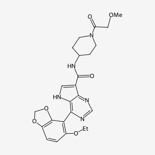 CCOc1ccc2c(c1-c1ncnc3c(C(=O)NC4CCN(C(=O)COC)CC4)c[nH]c13)OCO2